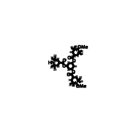 CON1C(C)(C)CC(C(=O)OC2CC(OC(=O)C3CC(C)(C)NC(C)(C)C3)CC(OC(=O)C3CC(C)(C)N(OC)C(C)(C)C3)C2)CC1(C)C